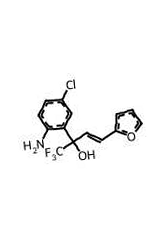 Nc1ccc(Cl)cc1C(O)(/C=C/c1ccco1)C(F)(F)F